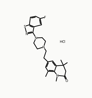 Cc1cc(CCN2CCN(c3nsc4ccc(F)cc34)CC2)cc2c1N(C)C(=O)CC2(C)C.Cl